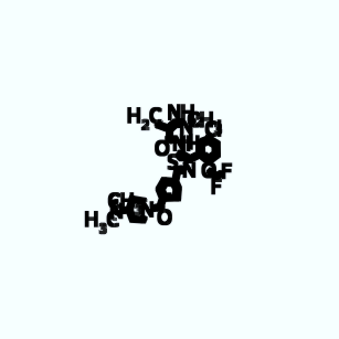 C=C/C(C(=O)Nc1sc(-c2ccc(C(=O)N3CCC(N(C)C)CC3)cc2)nc1-c1cc(Cl)ccc1OC(F)F)=C(\N)NC